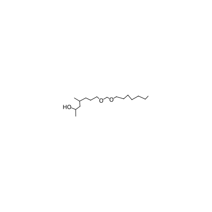 CCCCCCCOCOCCCC(C)CC(C)O